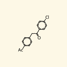 CC(=O)c1ccc(CC(=O)c2ccc(Cl)cc2)cc1